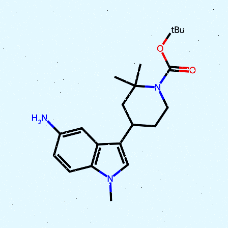 Cn1cc(C2CCN(C(=O)OC(C)(C)C)C(C)(C)C2)c2cc(N)ccc21